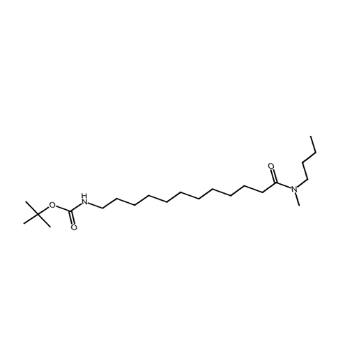 CCCCN(C)C(=O)CCCCCCCCCCCNC(=O)OC(C)(C)C